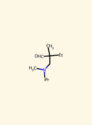 CCC(C)(C=O)CN(C)C(C)C